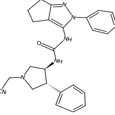 N#CCN1C[C@@H](NC(=O)Nc2c3c(nn2-c2ccccc2)CCC3)[C@H](c2ccccc2)C1